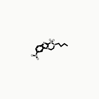 CCCCN1CCn2c(nc3ccc([N+](=O)[O-])cc32)S1(=O)=O